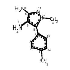 Cc1ccc(-c2c(N)c(N)nn2C)cc1